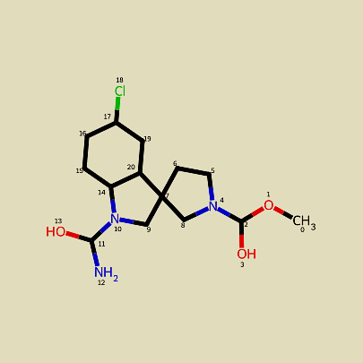 COC(O)N1CCC2(C1)CN(C(N)O)C1CCC(Cl)CC12